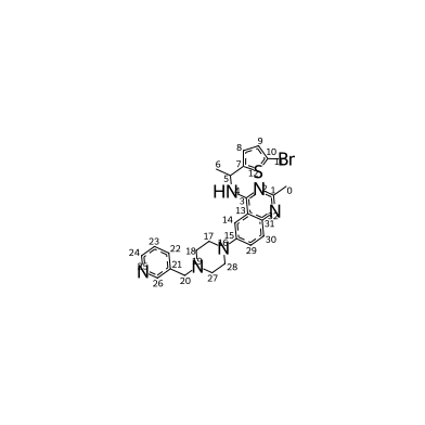 Cc1nc(NC(C)c2ccc(Br)s2)c2cc(N3CCN(Cc4cccnc4)CC3)ccc2n1